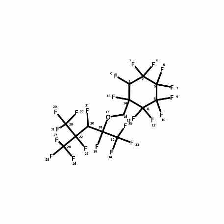 FC1C(F)(F)C(F)(F)C(F)(F)C(F)(F)C1(F)COC(F)(C(F)C(F)(C(F)(F)F)C(F)(F)F)C(F)(F)F